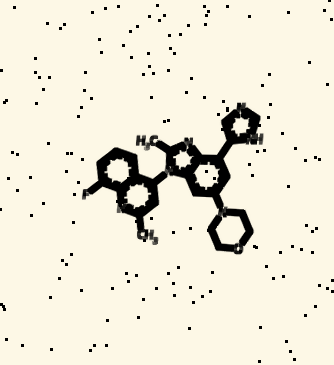 Cc1cc(-n2c(C)nc3c(-c4cnc[nH]4)cc(N4CCOCC4)cc32)c2cccc(F)c2n1